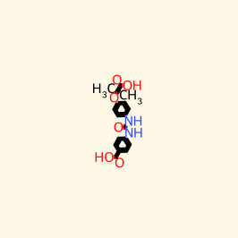 CC(C)(Oc1ccc(NC(=O)Nc2ccc(C(=O)O)cc2)cc1)C(=O)O